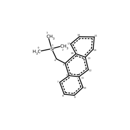 C[Si](C)(C)Cc1c2ccccc2cc2ccccc12